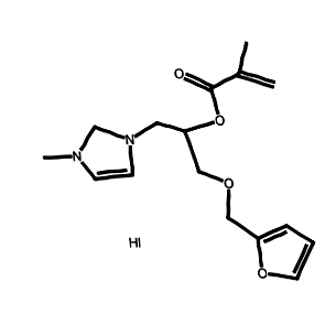 C=C(C)C(=O)OC(COCc1ccco1)CN1C=CN(C)C1.I